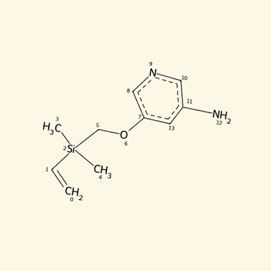 C=C[Si](C)(C)COc1cncc(N)c1